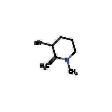 C=C1C(CCC)CCCN1C